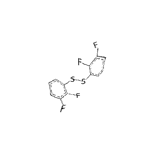 Fc1cccc(SSc2cccc(F)c2F)c1F